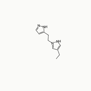 CCc1c[nH][n+](CCc2ccn[nH]2)c1